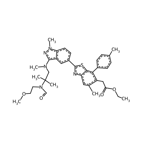 CCOC(=O)Cc1c(C)cc2nc(-c3ccc4c(c3)c(N(C)CC(C)(C)N(C=O)CCOC)nn4C)sc2c1-c1ccc(C)cc1